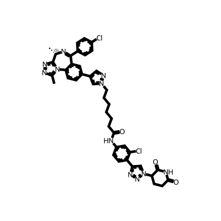 Cc1nnc2n1-c1ccc(-c3cnn(CCCCCCC(=O)Nc4ccc(-c5cn(C6CCC(=O)NC6=O)nn5)c(Cl)c4)c3)cc1C(c1ccc(Cl)cc1)=N[C@H]2C